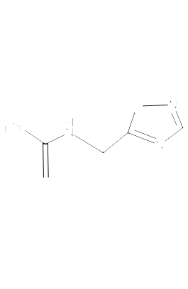 CCCC(=O)NCc1ncno1